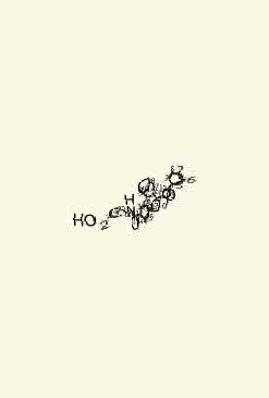 Cc1oc(-c2ccccc2)cc1C(Oc1ccc(C(=O)NCCC(=O)O)cc1)C1CCOCC1